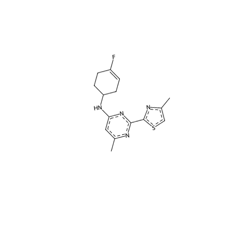 Cc1cc(NC2CC=C(F)CC2)nc(-c2nc(C)cs2)n1